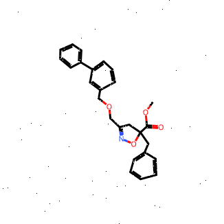 COC(=O)C1(Cc2ccccc2)CC(COCc2cccc(-c3ccccc3)c2)=NO1